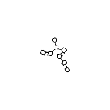 C1=Cc2oc3c(-c4ccc5c(c4)oc4ccccc45)cccc3c2C(c2nc(-c3ccccc3)nc(-c3ccc4sc5ccccc5c4c3)n2)C1